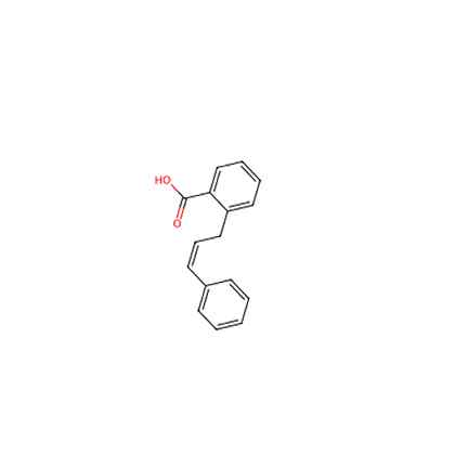 O=C(O)c1ccccc1C/C=C\c1ccccc1